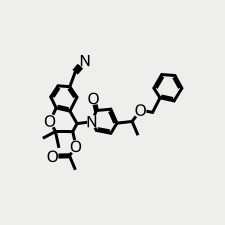 CC(=O)OC1C(n2ccc(C(C)OCc3ccccc3)cc2=O)c2cc(C#N)ccc2OC1(C)C